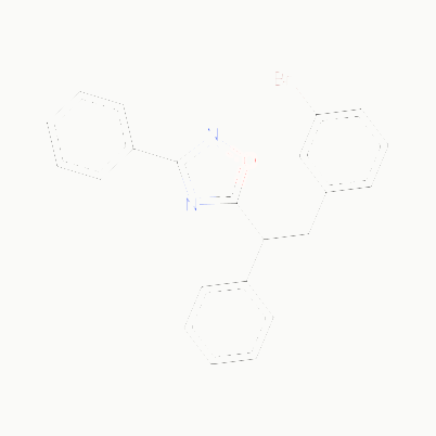 Brc1[c]ccc(CC(c2ccccc2)c2nc(-c3ccccc3)no2)c1